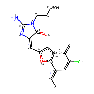 C=C(OC)/C(Cl)=C\C(=C/C)c1ccc(/C=C2/N=C(N)N(CCOC)C2=O)o1